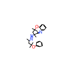 CC(CC(C)(C)Oc1ccccc1)/N=N/C(C)(C#N)CC(C)(C)Oc1ccccc1